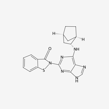 O=c1c2ccccc2sn1-c1nc(N[C@@H]2C[C@H]3CC[C@@H]2C3)c2nc[nH]c2n1